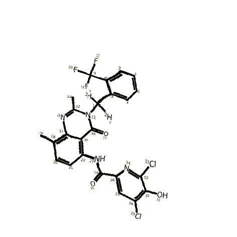 [2H]C([2H])(c1ccccc1C(F)(F)F)n1c(C)nc2c(C)ccc(NC(=O)c3cc(Cl)c(O)c(Cl)n3)c2c1=O